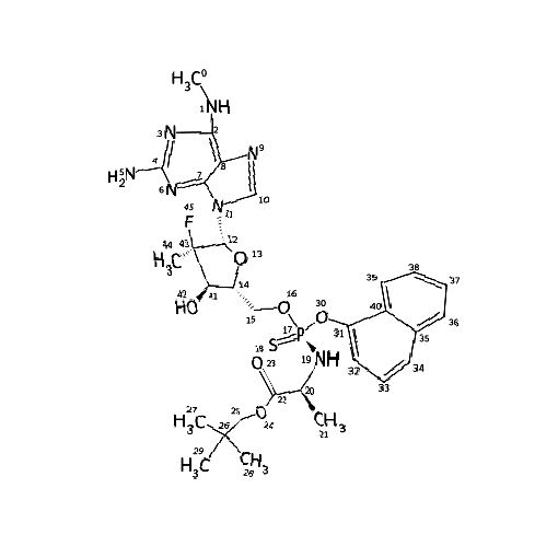 CNc1nc(N)nc2c1ncn2[C@@H]1O[C@H](CO[P@](=S)(N[C@@H](C)C(=O)OCC(C)(C)C)Oc2cccc3ccccc23)[C@@H](O)[C@@]1(C)F